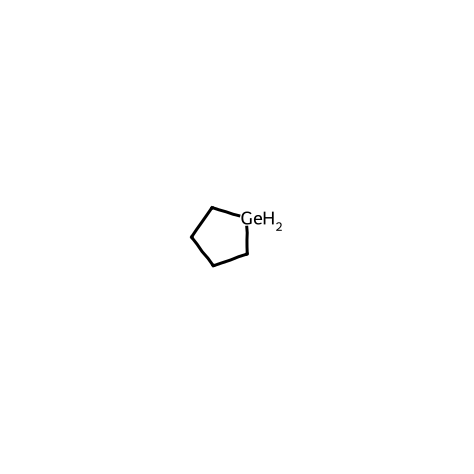 C1C[CH2][GeH2][CH2]1